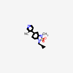 CN1c2cc(-c3ccncc3C#N)ccc2N(CC2CC2)S1(=O)=O